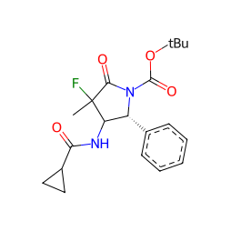 CC(C)(C)OC(=O)N1C(=O)C(C)(F)C(NC(=O)C2CC2)[C@H]1c1ccccc1